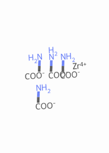 NC(=O)[O-].NC(=O)[O-].NC(=O)[O-].NC(=O)[O-].[Zr+4]